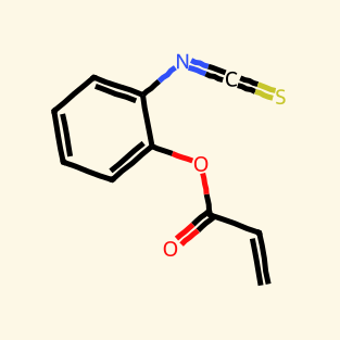 C=CC(=O)Oc1ccccc1N=C=S